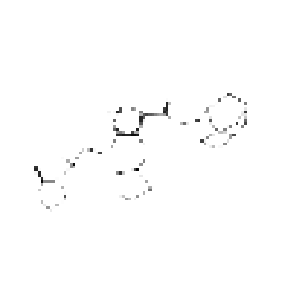 CC(C)(COc1noc(C(=O)N[C@H]2C3CC4CC2C[C@](O)(C4)C3)c1SC1CCCC1)N1CCOC1=O